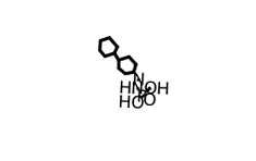 O=P(O)(O)NN=C1CCC(C2CCCCC2)CC1